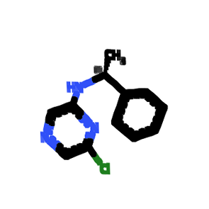 C[C@@H](Nc1cncc(Cl)n1)c1ccccc1